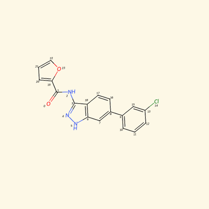 O=C(Nc1n[nH]c2cc(-c3cccc(Cl)c3)ccc12)c1ccco1